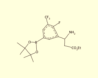 CCOC(=O)CC(N)c1cc(B2OC(C)(C)C(C)(C)O2)cc(C(F)(F)F)c1F